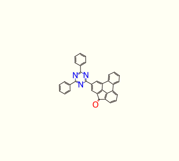 O=c1c2cccc3c4ccccc4c4cc(-c5nc(-c6ccccc6)nc(-c6ccccc6)n5)cc1c4c23